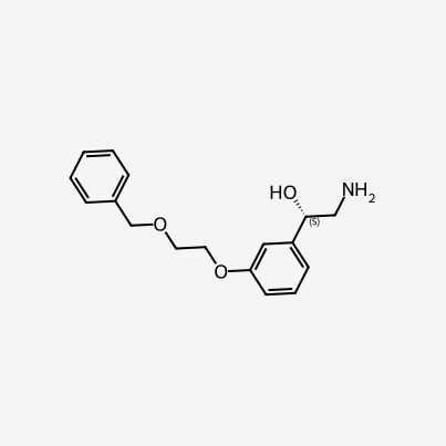 NC[C@@H](O)c1cccc(OCCOCc2ccccc2)c1